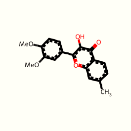 COc1ccc(-c2oc3cc(C)ccc3c(=O)c2O)cc1OC